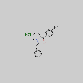 CC(C)c1ccc(C(=O)C2CCCCN2CCc2ccccc2)cc1.Cl